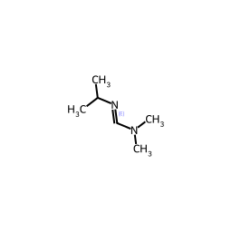 CC(C)/N=C/N(C)C